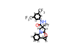 CC(C)C1(C(=O)Nc2cc(C(F)(F)F)cc(C(F)(F)F)c2)CC(=O)N(c2ccccc2C2CC2)C1